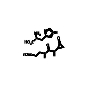 CCCCCCCCCCCCNC(=O)NC1CC1=O.N[C@@H](Cc1c[nH]cn1)C(=O)O